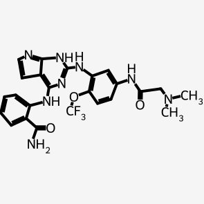 CN(C)CC(=O)Nc1ccc(OC(F)(F)F)c(Nc2nc(Nc3ccccc3C(N)=O)c3ccnc-3[nH]2)c1